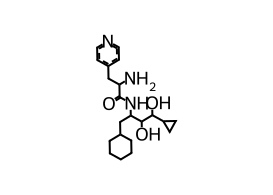 NC(Cc1ccncc1)C(=O)NC(CC1CCCCC1)C(O)C(O)C1CC1